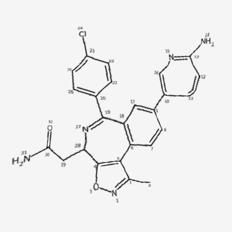 Cc1noc2c1-c1ccc(-c3ccc(N)nc3)cc1C(c1ccc(Cl)cc1)=NC2CC(N)=O